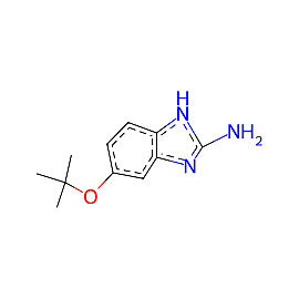 CC(C)(C)Oc1ccc2[nH]c(N)nc2c1